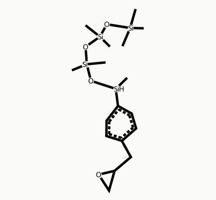 C[SiH](O[Si](C)(C)O[Si](C)(C)O[Si](C)(C)C)c1ccc(CC2CO2)cc1